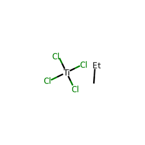 CCC.[Cl][Ti]([Cl])([Cl])[Cl]